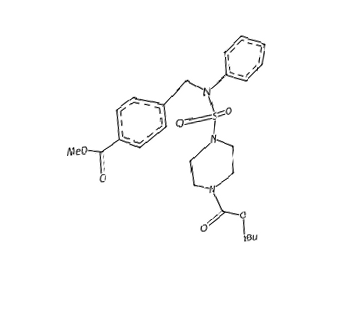 COC(=O)c1ccc(CN(c2ccccc2)S(=O)(=O)N2CCN(C(=O)OC(C)(C)C)CC2)cc1